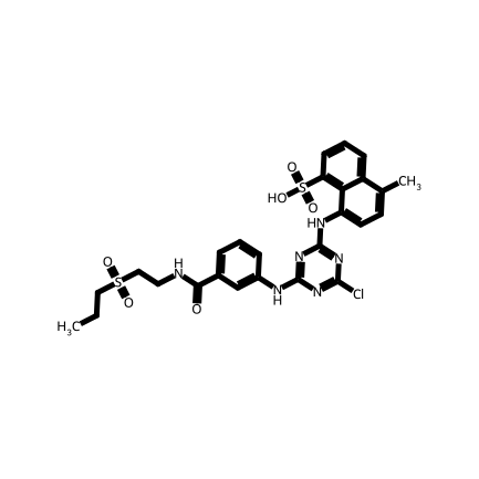 CCCS(=O)(=O)CCNC(=O)c1cccc(Nc2nc(Cl)nc(Nc3ccc(C)c4cccc(S(=O)(=O)O)c34)n2)c1